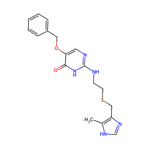 Cc1[nH]cnc1CSCCNc1ncc(OCc2ccccc2)c(=O)[nH]1